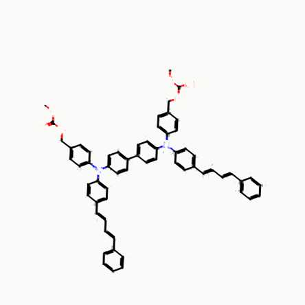 COC(=O)OCc1ccc(N(c2ccc(/C=C/C=C/c3ccccc3)cc2)c2ccc(-c3ccc(N(c4ccc(/C=C/C=C/c5ccccc5)cc4)c4ccc(COC(O)OC)cc4)cc3)cc2)cc1